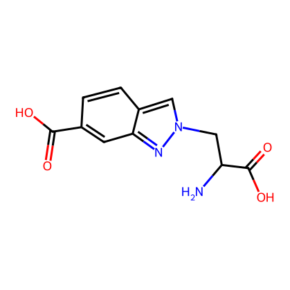 NC(Cn1cc2ccc(C(=O)O)cc2n1)C(=O)O